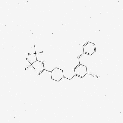 C[C@@H]1C=C(CN2CCN(C(=O)OC(C(F)(F)F)C(F)(F)F)CC2)C=C(Oc2ccccc2)C1